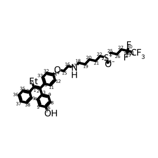 CC/C(=C(/c1ccc(O)cc1)c1ccc(OCCNCCCCC[S+]([O-])CCCC(F)(F)C(F)(F)F)cc1)c1ccccc1